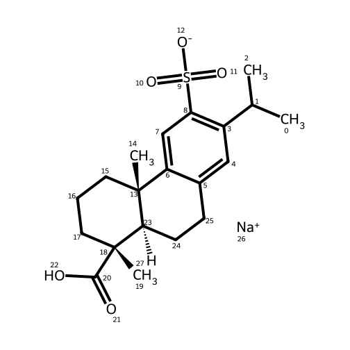 CC(C)c1cc2c(cc1S(=O)(=O)[O-])[C@@]1(C)CCC[C@@](C)(C(=O)O)[C@@H]1CC2.[Na+]